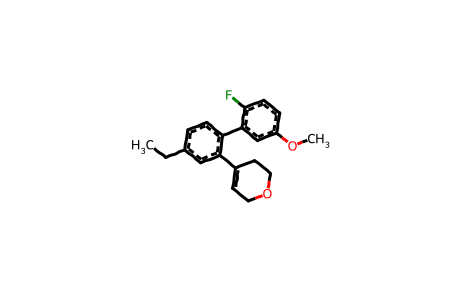 CCc1ccc(-c2cc(OC)ccc2F)c(C2=CCOCC2)c1